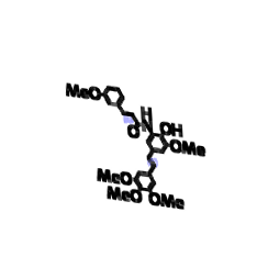 COc1cccc(/C=C/C(=O)Nc2cc(/C=C/c3cc(OC)c(OC)c(OC)c3)cc(OC)c2O)c1